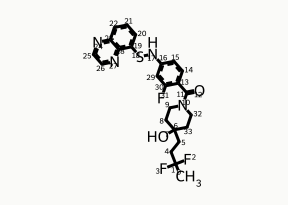 CC(F)(F)CCC1(O)CCN(C(=O)c2ccc(NSc3cccc4nccnc34)cc2F)CC1